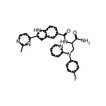 Cc1nccc(-c2cc3cc(C(=O)NC(CN(c4ccc(F)cc4)c4ccccn4)C(N)=O)ccc3[nH]2)n1